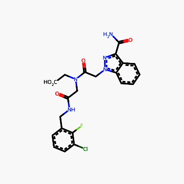 NC(=O)c1nn(CC(=O)N(CC(=O)O)CC(=O)NCc2cccc(Cl)c2F)c2ccccc12